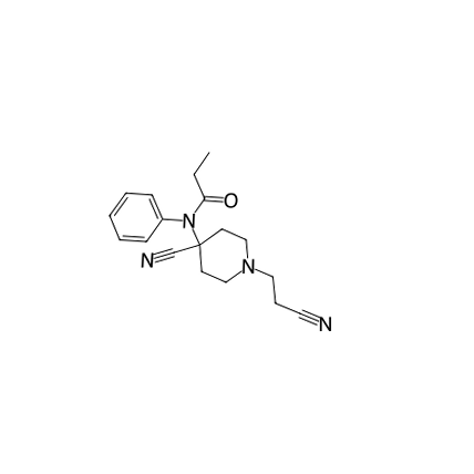 CCC(=O)N(c1ccccc1)C1(C#N)CCN(CCC#N)CC1